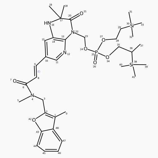 Cc1c(CN(C)C(=O)/C=C/c2cnc3c(c2)NC(C)(C)C(=O)N3COP(=O)(OCC[Si](C)(C)C)OCC(C)[Si](C)(C)C)oc2ccccc12